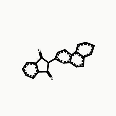 O=C1c2ccccc2C(=O)C1c1ccc2c(ccc3ccccc32)n1